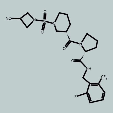 N#CC1CN(S(=O)(=O)N2CCC[C@H](C(=O)N3CCC[C@@H]3C(=O)NCc3c(F)cccc3C(F)(F)F)C2)C1